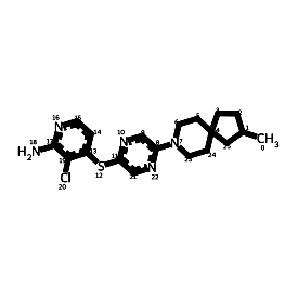 CC1CCC2(CCN(c3cnc(Sc4ccnc(N)c4Cl)cn3)CC2)C1